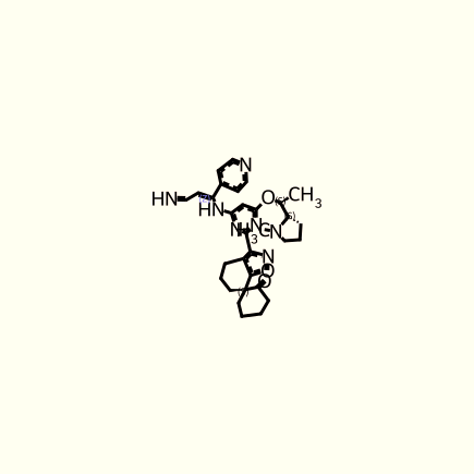 C[C@H](Oc1cc(N/C(=C\C=N)c2ccncc2)nc(-c2noc3c2CCC[C@@]32CCCCC2=O)n1)[C@@H]1CCCN1C